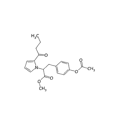 CCCC(=O)c1cccn1C(Cc1ccc(OC(C)=O)cc1)C(=O)OC